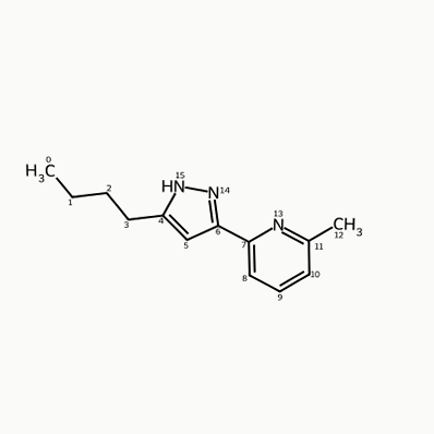 CCCCc1cc(-c2cccc(C)n2)n[nH]1